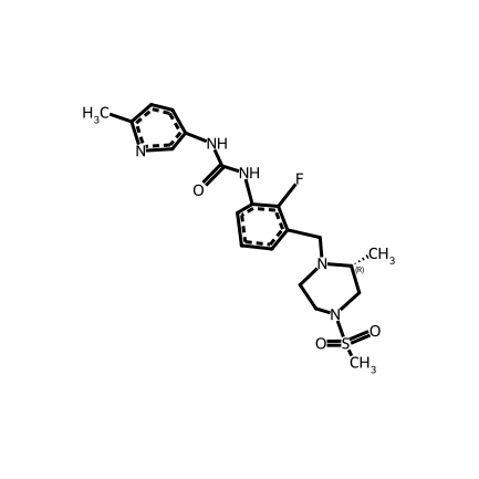 Cc1ccc(NC(=O)Nc2cccc(CN3CCN(S(C)(=O)=O)C[C@H]3C)c2F)cn1